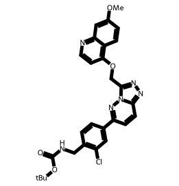 COc1ccc2c(OCc3nnc4ccc(-c5ccc(CNC(=O)OC(C)(C)C)c(Cl)c5)nn34)ccnc2c1